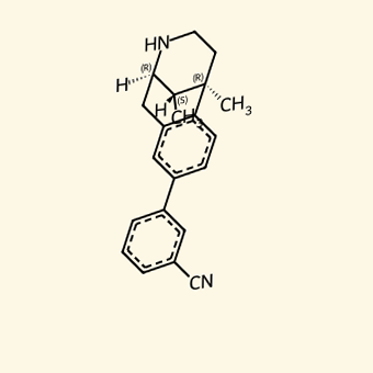 C[C@@H]1[C@H]2Cc3cc(-c4cccc(C#N)c4)ccc3[C@]1(C)CCN2